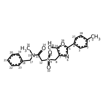 Cc1ccc(-c2nc(CS(=O)(=O)CC(=O)N(C)Cc3ccccc3)c(C)o2)cc1